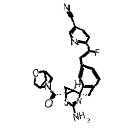 N#Cc1ccc(/C(F)=C/c2ccc3c(c2)[C@@]2(C3)N=C(N)S[C@@]3(C(=O)N4CC5CC4CO5)C[C@H]32)nc1